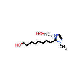 Cn1ccnc1CCCCCCCCO.O=[N+]([O-])O